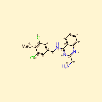 COc1c(Cl)cc(CNc2nc(CN)nc3ccccc23)cc1Cl